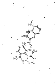 CNc1cncc2cc(C(=O)Nc3ccc(C(=O)O)cc3CN(C)C3CCCCC3)c(=O)[nH]c12